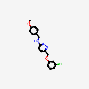 COc1ccc(CNc2ccc(COc3cccc(Cl)c3)nn2)cc1